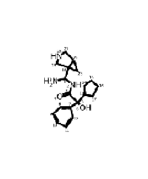 NC(NC(=O)C(O)(c1ccccc1)C1CCCC1)C12CNCC1C2